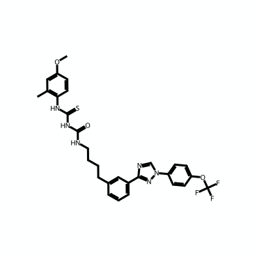 COc1ccc(NC(=S)NC(=O)NCCCCc2cccc(-c3ncn(-c4ccc(OC(F)(F)F)cc4)n3)c2)c(C)c1